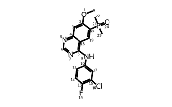 COc1cc2ncnc(Nc3ccc(F)c(Cl)c3)c2cc1P(C)(C)=O